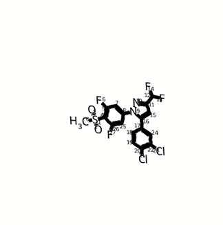 CS(=O)(=O)c1c(F)cc(-n2nc(C(F)F)cc2-c2ccc(Cl)c(Cl)c2)cc1F